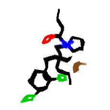 CC=CC(=O)[N+]1(CC(C)(C=CC)Cc2ccc(Cl)cc2Cl)CCCC1.[Br-]